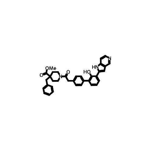 COC(=O)C1(Cc2ccccc2)CCN(C(=O)Cc2ccc(-c3cccc(-c4cc5cnccc5[nH]4)c3O)cc2)CC1